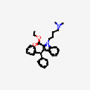 CCOC(=O)c1c(C(c2ccccc2)c2ccccc2)c2ccccc2n1CCCCN(C)C